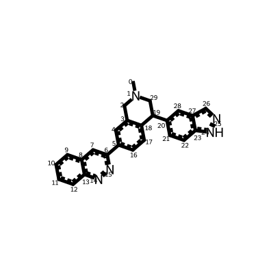 CN1Cc2cc(-c3cc4ccccc4nn3)ccc2C(c2ccc3[nH]ncc3c2)C1